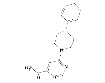 NNc1cc(N2CCC(c3ccccc3)CC2)ncn1